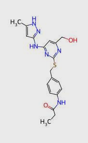 CCC(=O)Nc1ccc(CSc2nc(CO)cc(Nc3cc(C)[nH]n3)n2)cc1